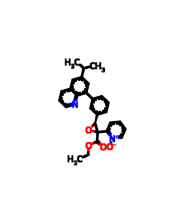 CCOC(=O)C1(c2cccc[n+]2[O-])O[C@H]1c1cccc(-c2cc(C(C)C)cc3cccnc23)c1